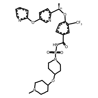 C[C@@H](Oc1ccc(C(=O)NS(=O)(=O)N2CCC(OC3CCN(C)CC3)CC2)cc1C(F)(F)F)c1ccc(Oc2ccccn2)cn1